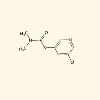 CN(C)C(=O)Sc1cncc(Cl)c1